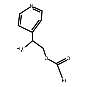 CCC(=O)OCC(C)c1ccncc1